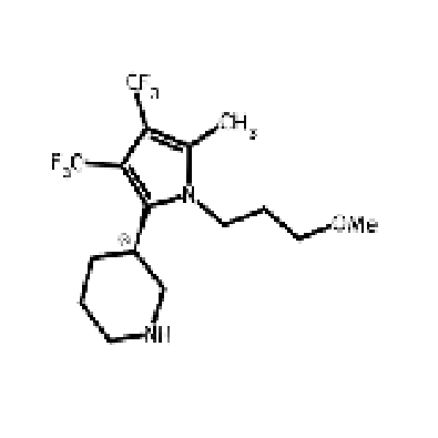 COCCCn1c(C)c(C(F)(F)F)c(C(F)(F)F)c1[C@@H]1CCCNC1